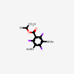 CCC(OC(=O)c1c(I)c(NC(C)=O)c(I)c(NC(C)=O)c1I)C(=O)O